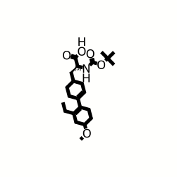 CCC1=C(C2=CCC(C[C@H](NC(=O)OC(C)(C)C)C(=O)O)CC2)CCC(OC)C1